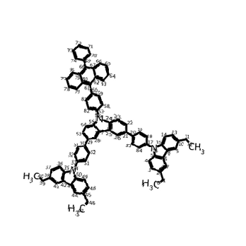 CCc1ccc2c(c1)c1cc(CC)ccc1n2-c1ccc(-c2ccc3c(c2)c2cc(-c4ccc(-n5c6ccc(CC)cc6c6cc(CC)ccc65)cc4)ccc2n3-c2ccc(-c3c4ccccc4c(-c4ccccc4)c4ccccc34)cc2)cc1